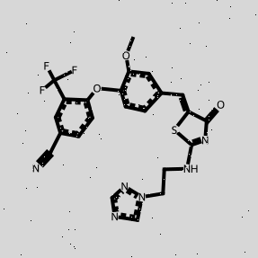 COc1cc(/C=C2\SC(NCCn3cncn3)=NC2=O)ccc1Oc1ccc(C#N)cc1C(F)(F)F